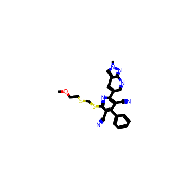 COCCSCSc1nc(-c2cnc3nn(C)cc3c2)c(C#N)c(-c2ccccc2)c1C#N